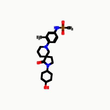 CS(=O)(=O)Nc1ccc(N2CCCC3(CCN(C4CCC(O)CC4)C3=O)C2)c(C(F)(F)F)c1